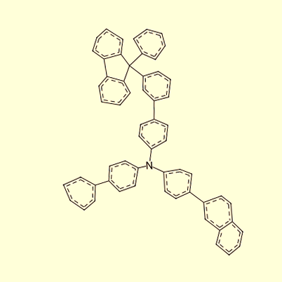 c1ccc(-c2ccc(N(c3ccc(-c4cccc(C5(c6ccccc6)c6ccccc6-c6ccccc65)c4)cc3)c3ccc(-c4ccc5ccccc5c4)cc3)cc2)cc1